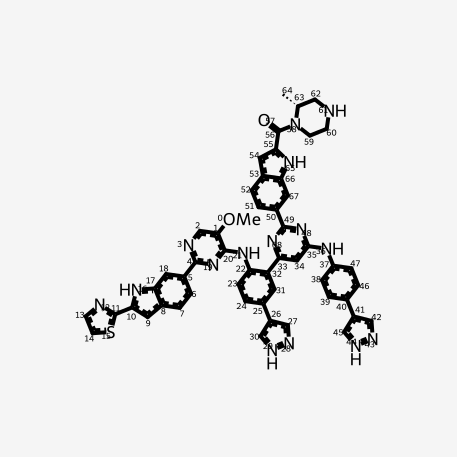 COc1cnc(-c2ccc3cc(-c4nccs4)[nH]c3c2)nc1Nc1ccc(-c2cn[nH]c2)cc1-c1cc(Nc2ccc(-c3cn[nH]c3)cc2)nc(-c2ccc3cc(C(=O)N4CCNC[C@H]4C)[nH]c3c2)n1